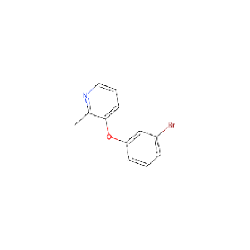 Cc1ncccc1Oc1[c]ccc(Br)c1